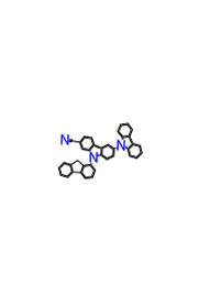 N#Cc1ccc2c3cc(-n4c5ccccc5c5ccccc54)ccc3n(-c3cccc4c3Cc3ccccc3-4)c2c1